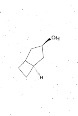 O[C@@H]1CC2CC[C@@H]2C1